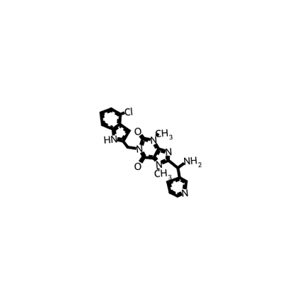 Cn1c(C(N)c2cccnc2)nc2c1c(=O)n(Cc1cc3c(Cl)cccc3[nH]1)c(=O)n2C